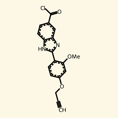 C#CCOc1ccc(-c2nc3cc(C(=O)Cl)ccc3[nH]2)c(OC)c1